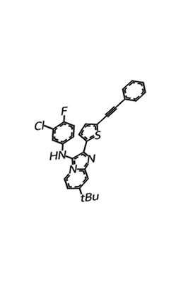 CC(C)(C)c1ccn2c(Nc3ccc(F)c(Cl)c3)c(-c3ccc(C#Cc4ccccc4)s3)nc2c1